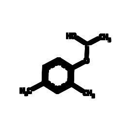 Cc1ccc(OP(C)O)c(C)c1